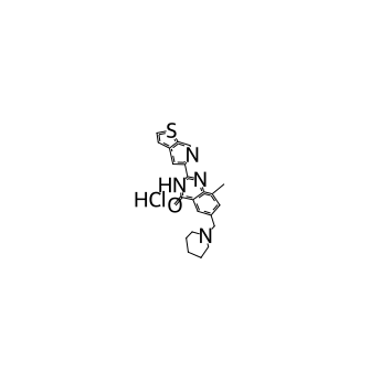 Cc1cc(CN2CCCCC2)cc2c(=O)[nH]c(-c3cc4ccsc4cn3)nc12.Cl